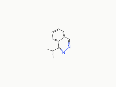 CC(C)c1nncc2ccccc12